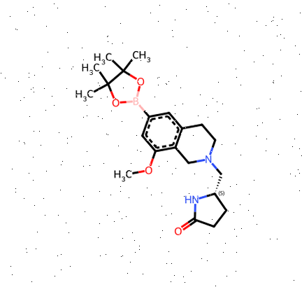 COc1cc(B2OC(C)(C)C(C)(C)O2)cc2c1CN(C[C@@H]1CCC(=O)N1)CC2